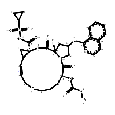 CC(C)(C)OC(=O)N[C@H]1CCCOC/C=C\C2C[C@@]2(C(=O)NS(=O)(=O)C2CC2)NC(=O)[C@@H]2CC(Oc3nccc4ccccc34)CN2C1=O